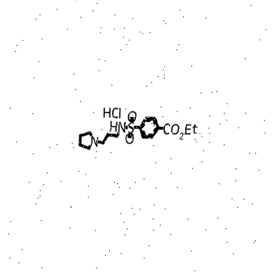 CCOC(=O)c1ccc(S(=O)(=O)NCCCN2CCCC2)cc1.Cl